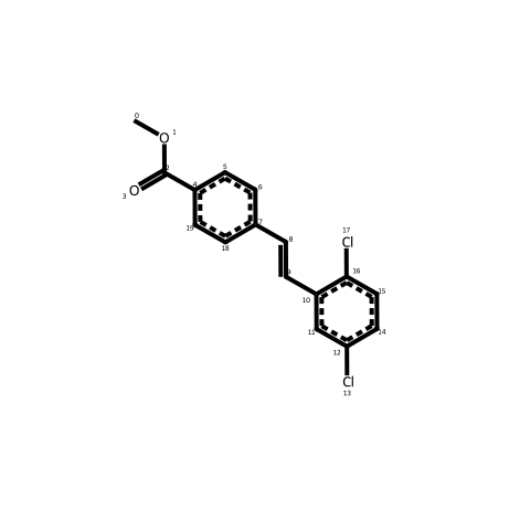 COC(=O)c1ccc(C=Cc2cc(Cl)ccc2Cl)cc1